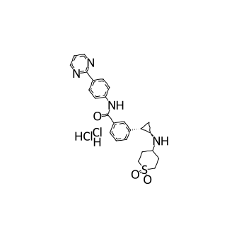 Cl.Cl.O=C(Nc1ccc(-c2ncccn2)cc1)c1cccc([C@@H]2C[C@H]2NC2CCS(=O)(=O)CC2)c1